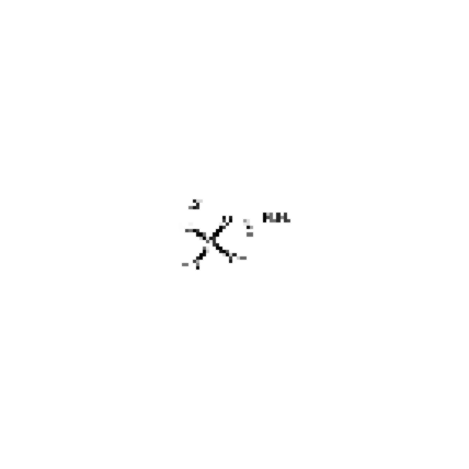 O[Si](O)(O)O.[NaH].[PbH2].[Zr]